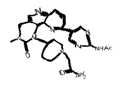 CC(=O)Nc1ncc(-c2ccc3ncc4c(c3n2)N(C2CCN(CC(N)=O)CC2)C(=O)N(C)C4)cn1